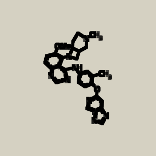 COc1ccc2ncnc(Nc3ccc(Oc4cc5ncnn5cn4)c(C)c3)c2c1N1CC2CN(C)CCC21